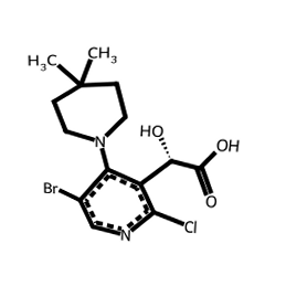 CC1(C)CCN(c2c(Br)cnc(Cl)c2[C@H](O)C(=O)O)CC1